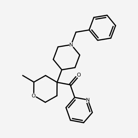 CC1CC(C(=O)c2ccccn2)(C2CCN(Cc3ccccc3)CC2)CCO1